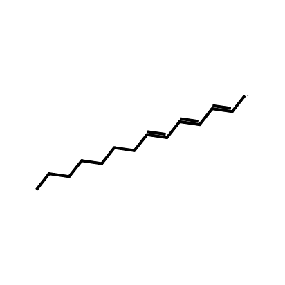 [CH2]C=CC=CC=CCCCCCCC